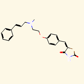 CN(CC=Cc1ccccc1)CCOc1ccc(C=C2SC(=O)NC2=O)cc1